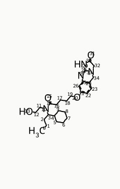 CCCC(C1CCCCC1)N(CCO)C(=O)CCCCOc1ccc2c(c1)N=C1NC(=O)CN1C2